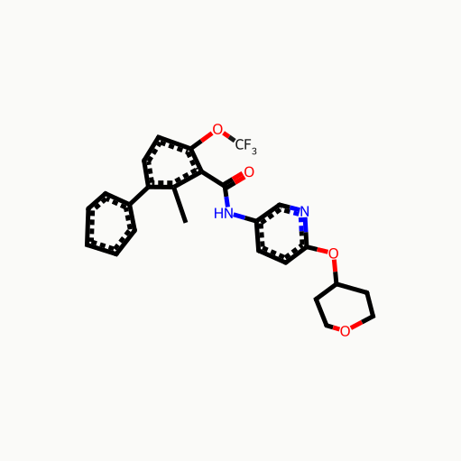 Cc1c(-c2ccccc2)ccc(OC(F)(F)F)c1C(=O)Nc1ccc(OC2CCOCC2)nc1